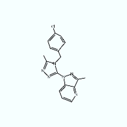 Cc1nn(-c2nnc(C)n2Cc2ccc(Cl)cc2)c2cccnc12